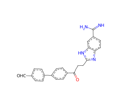 N=C(N)c1ccc2nc(CCC(=O)c3ccc(-c4ccc(C=O)cc4)cc3)[nH]c2c1